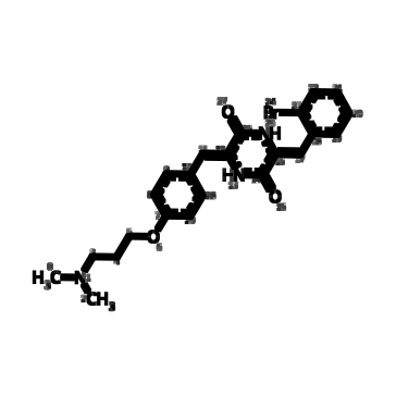 CN(C)CCCOc1ccc(C=c2[nH]c(=O)c(=Cc3ccccc3Br)[nH]c2=O)cc1